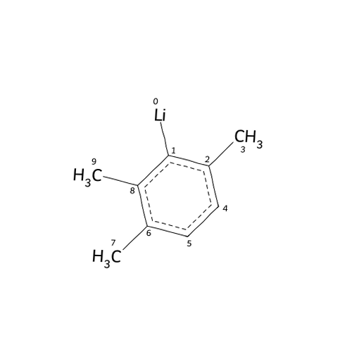 [Li][c]1c(C)ccc(C)c1C